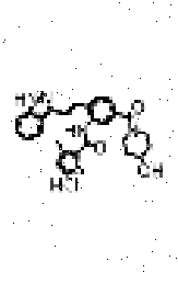 Cc1ccsc1C(=O)Nc1cc(C(=O)N2CCC(O)CC2)ccc1/C=C/c1n[nH]c2ccccc12.Cl